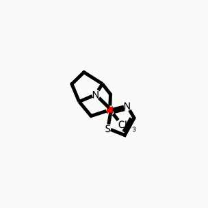 CN1CC2CCC(C1)N2c1nccs1